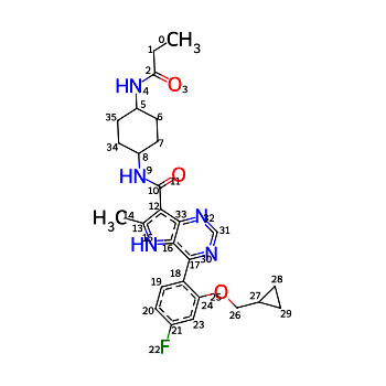 CCC(=O)NC1CCC(NC(=O)c2c(C)[nH]c3c(-c4ccc(F)cc4OCC4CC4)ncnc23)CC1